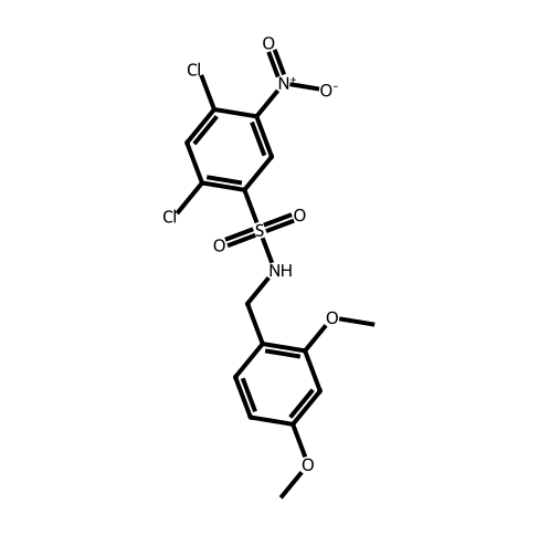 COc1ccc(CNS(=O)(=O)c2cc([N+](=O)[O-])c(Cl)cc2Cl)c(OC)c1